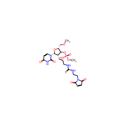 COC[C@H]1O[C@@H](n2ccc(=O)[nH]c2=O)[C@@H](CCCNC(=S)NCCN2C(=O)C=CC2=O)C1OP(=O)(O)OC